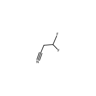 N#CC[C](F)F